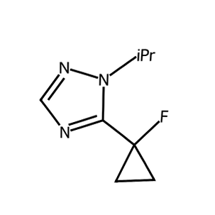 CC(C)n1ncnc1C1(F)CC1